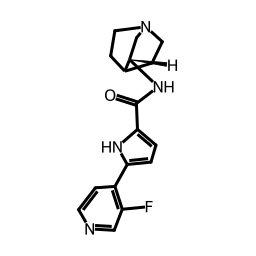 O=C(N[C@H]1CN2CCC1CC2)c1ccc(-c2ccncc2F)[nH]1